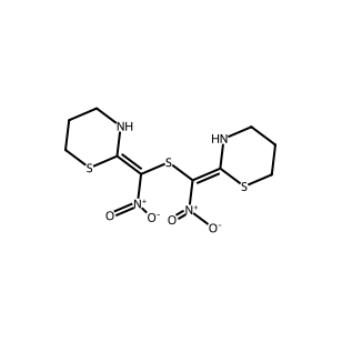 O=[N+]([O-])/C(S/C(=C1\NCCCS1)[N+](=O)[O-])=C1/NCCCS1